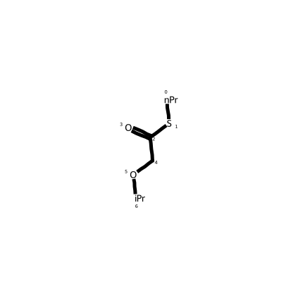 CCCSC(=O)COC(C)C